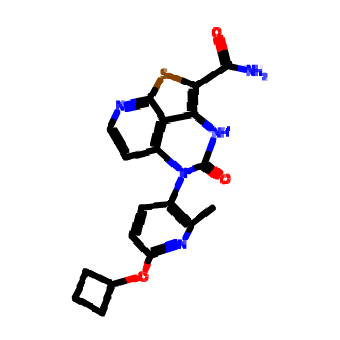 Cc1nc(OC2CCC2)ccc1N1C(=O)Nc2c(C(N)=O)sc3nccc1c23